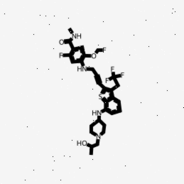 CNC(=O)c1cc(OCF)c(NCC#Cc2sc3c(NC4CCN(CC(C)O)CC4)cccc3c2CC(F)(F)F)cc1F